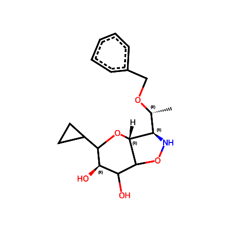 C[C@@H](OCc1ccccc1)[C@H]1NOC2C(O)[C@@H](O)C(C3CC3)O[C@@H]21